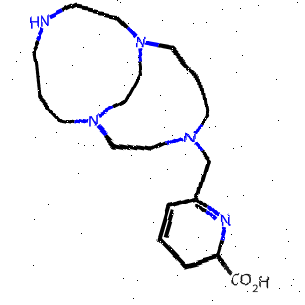 O=C(O)C1CC=CC(CN2CCCN3CCNCCCN(CC3)CC2)=N1